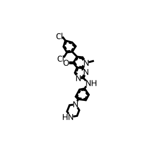 Cn1cc(-c2ccc(Cl)cc2Cl)c(=O)c2cnc(Nc3ccc(N4CCNCC4)cc3)nc21